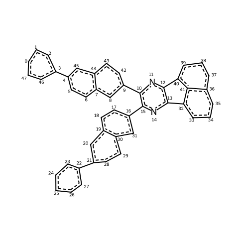 c1ccc(-c2ccc3cc(-c4nc5c(nc4-c4ccc6cc(-c7ccccc7)ccc6c4)-c4cccc6cccc-5c46)ccc3c2)cc1